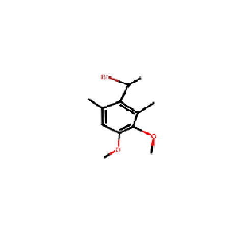 COc1cc(C)c(C(C)Br)c(C)c1OC